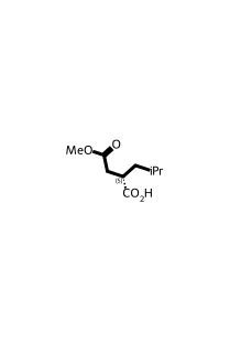 COC(=O)C[C@H](CC(C)C)C(=O)O